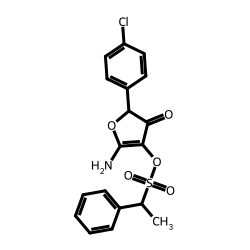 CC(c1ccccc1)S(=O)(=O)OC1=C(N)OC(c2ccc(Cl)cc2)C1=O